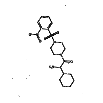 NC(C(=O)N1CCN(S(=O)(=O)c2ccccc2[N+](=O)[O-])CC1)C1CCCCC1